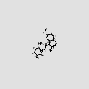 COc1ccc2ncc(F)c(C(O)CN3CC[CH]C(F)C3)c2n1